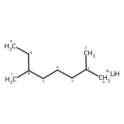 [CH2]C(C)CCCC(C)CC.[LiH]